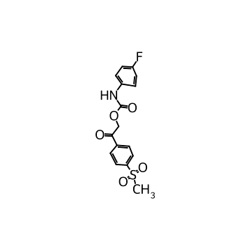 CS(=O)(=O)c1ccc(C(=O)COC(=O)Nc2ccc(F)cc2)cc1